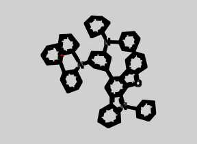 c1ccc(-c2ccccc2N(c2ccccc2)c2cc(-c3cc4c5ccccc5n(-c5ccccc5)c4c4oc5ccccc5c34)cc(N(c3ccccc3)c3ccccc3)c2)cc1